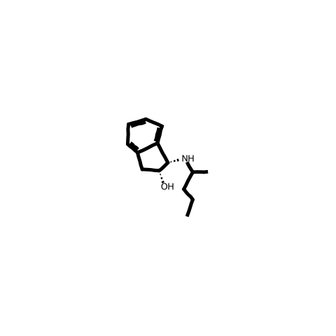 CCCC(C)N[C@H]1c2ccccc2C[C@H]1O